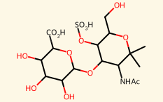 CC(=O)NC1C(OC2OC(C(=O)O)C(O)C(O)C2O)C(OS(=O)(=O)O)C(CO)OC1(C)C